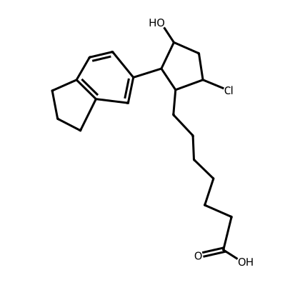 O=C(O)CCCCCCC1C(Cl)CC(O)C1c1ccc2c(c1)CCC2